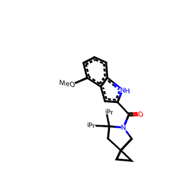 COc1cccc2[nH]c(C(=O)N3CC4(CC4)CC3(C(C)C)C(C)C)cc12